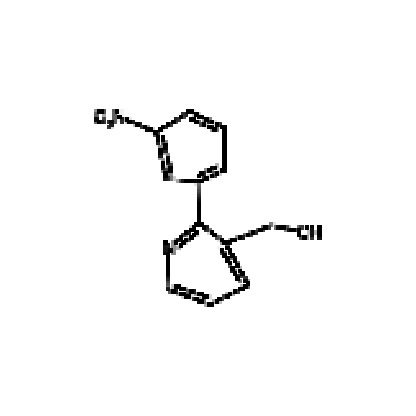 O=[N+]([O-])c1cccc(-c2ncccc2CO)c1